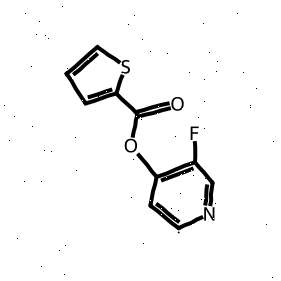 O=C(Oc1c[c]ncc1F)c1cccs1